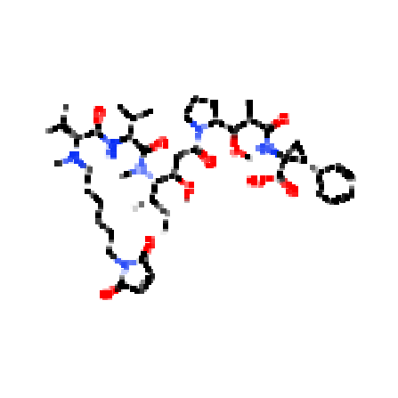 CC[C@H](C)[C@@H]([C@@H](CC(=O)N1CCC[C@H]1[C@H](OC)[C@@H](C)C(=O)N[C@@]1(C(=O)O)C[C@@H]1c1ccccc1)OC)N(C)C(=O)[C@@H](NC(=O)[C@H](C(C)C)N(C)CCCCCCN1C(=O)C=CC1=O)C(C)C